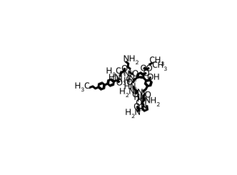 CCCCc1ccc(-c2ccc(C(=O)NC[C@@H](C)C(=O)N[C@@H](CCCCN)C(=O)N(C)[C@@H]3C(=O)N[C@@H](N)C(=O)N[C@H](C(=O)N[C@@H](N)C(=O)N4CCC[C@H]4C(N)=O)Cc4ccc(O)c(c4)-c4cc3ccc4OC(=O)OCC(C)C)cc2)cc1